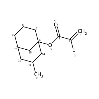 C=C(F)C(=O)OC12CCCC(CC(C)C1)C2